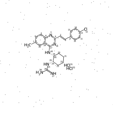 Cc1ccc2nc(C=Cc3ccc(Cl)cc3)nc(N[C@@H]3CCCC[C@@H]3NC(=N)N)c2c1.Cl.Cl